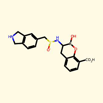 O=C(O)c1cccc2c1OB(O)C(N[S+]([O-])Cc1ccc3c(c1)CNC3)C2